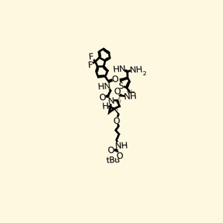 C[C@@H](NC(=O)[C@@H]1C[C@]2(COCCCCNC(=O)OC(C)(C)C)C[C@@H]2N1C(=O)CNC(=O)c1ccc2c(c1)-c1ccccc1C2(F)F)c1cc(C(=N)N)cs1